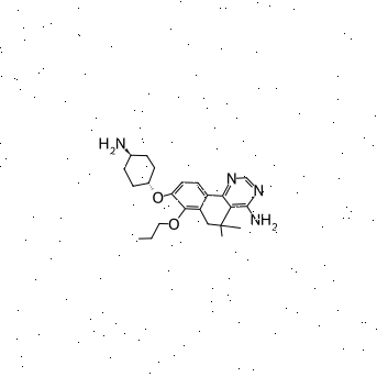 CCCOc1c(O[C@H]2CC[C@H](N)CC2)ccc2c1CC(C)(C)c1c(N)ncnc1-2